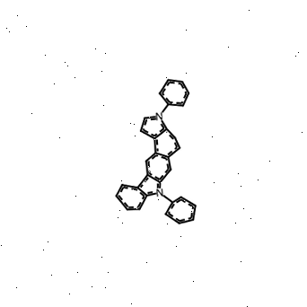 c1ccc(-n2ccc3c4cc5c6ccccc6n(-c6ccccc6)c5cc4ccc32)cc1